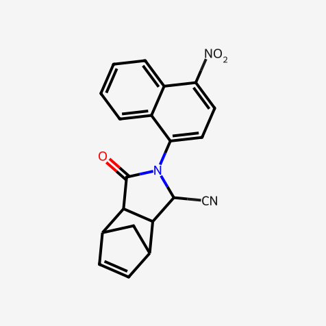 N#CC1C2C3C=CC(C3)C2C(=O)N1c1ccc([N+](=O)[O-])c2ccccc12